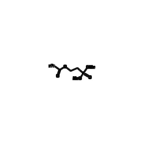 CCCC(=O)OCCP(=O)(OC)OC